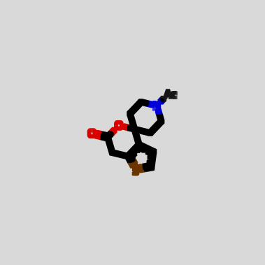 CC(=O)N1CCC2(CC1)OC(=O)Cc1sccc12